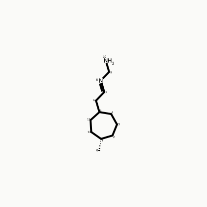 C[C@H]1CCCC(C/C=N/CN)CC1